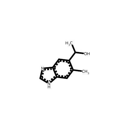 Cc1cc2[nH]cnc2cc1C(C)O